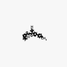 COc1ccc(C2CCC(N(C(=O)CNC(=O)c3cccc(C(F)(F)F)c3)C3CNC3)CC2)cn1